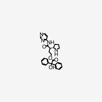 O=C(Nc1ccncn1)C(CCOC(=O)C(O)(c1ccccc1)c1ccccc1)[C@H]1CCCN1